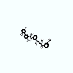 COc1cccc(C(=O)NCCNc2cccc(N[S+]([O-])c3cc(-c4cc(F)ccc4Cl)ccc3OC)c2)c1